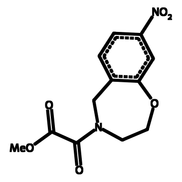 COC(=O)C(=O)N1CCOc2cc([N+](=O)[O-])ccc2C1